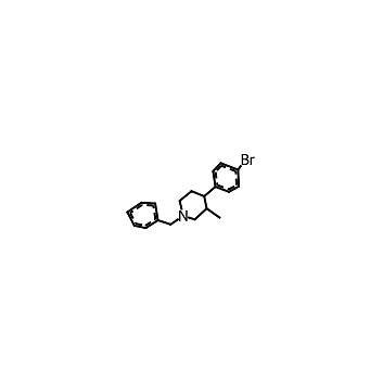 CC1CN(Cc2ccccc2)CCC1c1ccc(Br)cc1